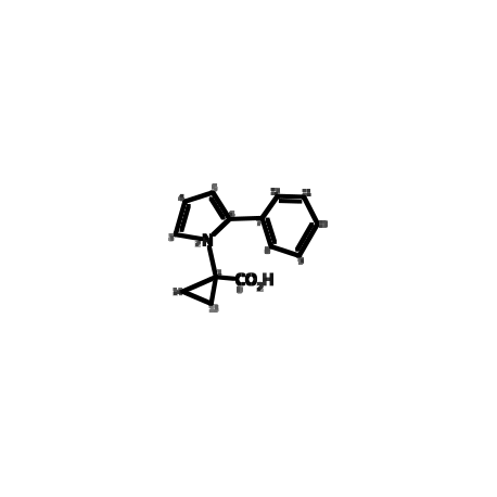 O=C(O)C1(n2cccc2-c2ccccc2)CC1